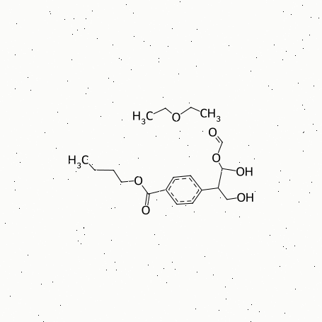 CCCCOC(=O)c1ccc(C(CO)C(O)OC=O)cc1.CCOCC